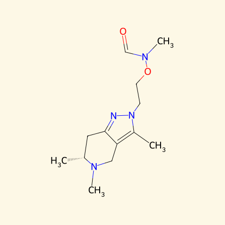 Cc1c2c(nn1CCON(C)C=O)C[C@@H](C)N(C)C2